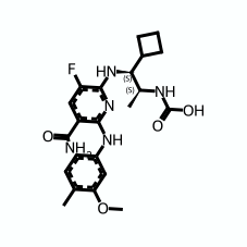 COc1cc(Nc2nc(N[C@@H](C3CCC3)[C@H](C)NC(=O)O)c(F)cc2C(N)=O)ccc1C